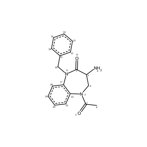 CC(=O)N1CC(N)C(=O)N(Cc2ccccc2)c2ccccc21